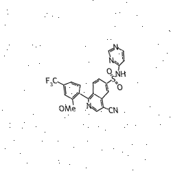 COc1cc(C(F)(F)F)ccc1-c1ncc(C#N)c2cc(S(=O)(=O)Nc3ccncn3)ccc12